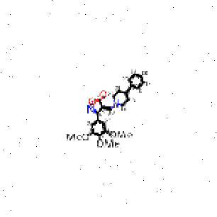 COc1cc(C2=NOC(=O)C2=CN2CCC(c3ccccc3)CC2)cc(OC)c1OC